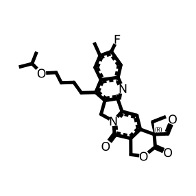 CC[C@@]1(C=O)C(=O)OCc2c1cc1n(c2=O)Cc2c-1nc1cc(F)c(C)cc1c2CCCCOC(C)C